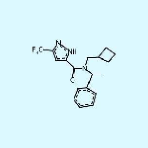 CC(c1ccccc1)N(CC1CCC1)C(=O)c1cc(C(F)(F)F)n[nH]1